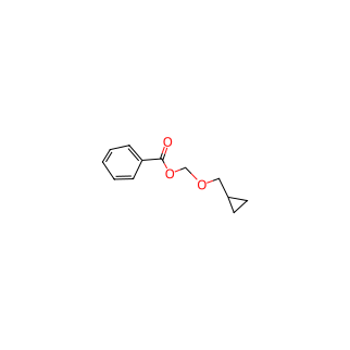 O=C(OCOCC1CC1)c1ccccc1